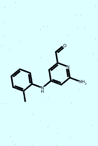 Cc1ccccc1Nc1cc(N)nc(C=O)c1